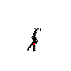 CCCCCCCC(CCCCCCC)OP(=O)(N(C)C)N1CCN(C(=O)OCCOCCOCCO)CC1